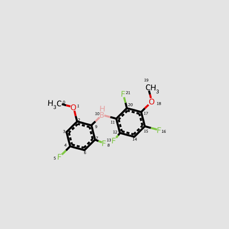 COc1cc(F)cc(F)c1Bc1c(F)cc(F)c(OC)c1F